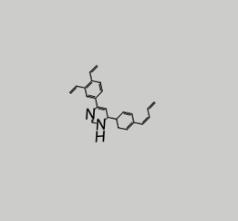 C=C/C=C\C1=CCC(C2C=C(c3ccc(C=C)c(C=C)c3)N=CN2)C=C1